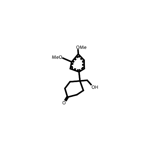 COc1ccc(C2(CO)CCC(=O)CC2)cc1OC